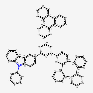 c1ccc(-n2c3ccccc3c3cc(-c4cc(-c5ccc6c(c5)-c5ccccc5-c5ccccc5-c5ccccc5-6)cc(-c5ccc6c7ccccc7c7ccccc7c6c5)c4)ccc32)cc1